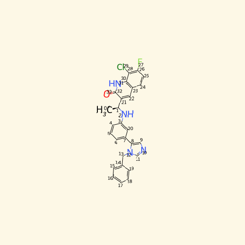 C[C@H](Nc1cccc(-c2cncn2Cc2ccccc2)c1)c1cc2ccc(F)c(Cl)c2[nH]c1=O